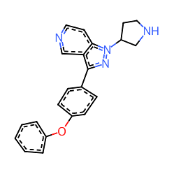 c1ccc(Oc2ccc(-c3nn(C4CCNC4)c4ccncc34)cc2)cc1